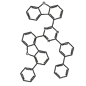 c1ccc(-c2cccc(-c3nc(-c4cccc5oc6ccccc6c45)nc(-c4cccc5oc6c(-c7ccccc7)cccc6c45)n3)c2)cc1